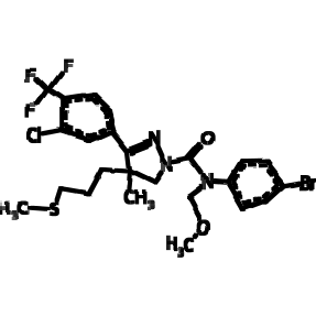 COCN(C(=O)N1CC(C)(CCCSC)C(c2ccc(C(F)(F)F)c(Cl)c2)=N1)c1ccc(Br)cc1